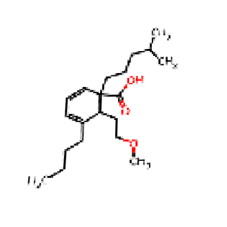 CCCCC1=CC=CC(CCCC(C)C)(C(=O)O)C1CCOC